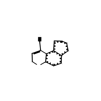 N#CC1=CCOc2ccc3ccccc3c21